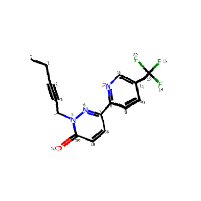 CCC#CCn1nc(-c2ccc(C(F)(F)F)cn2)ccc1=O